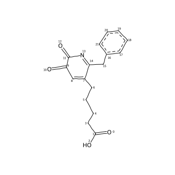 O=C(O)CCCCC1=CC(=O)C(=O)N=C1Cc1ccccc1